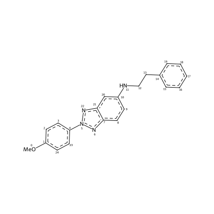 COc1ccc(-n2nc3ccc(NCCc4ccccc4)cc3n2)cc1